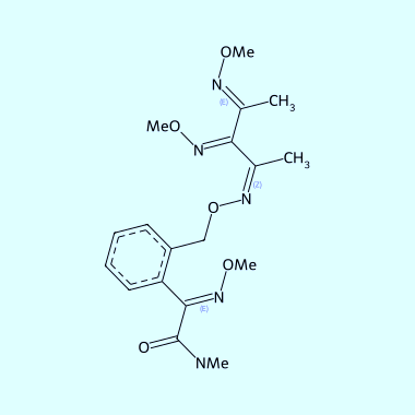 CNC(=O)/C(=N/OC)c1ccccc1CO/N=C(/C)C(=NOC)/C(C)=N/OC